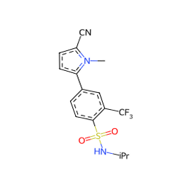 CC(C)NS(=O)(=O)c1ccc(-c2ccc(C#N)n2C)cc1C(F)(F)F